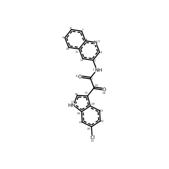 O=C(Nc1cnc2ccccc2c1)C(=O)c1c[nH]c2cc(Cl)ccc12